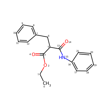 CCOC(=O)C(Cc1ccccc1)C(=O)Nc1ccccc1